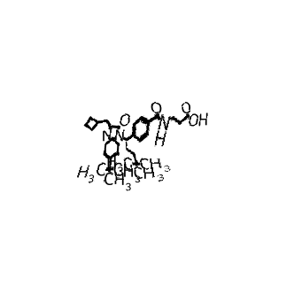 CC(C)(C)CC[C@H](c1ccc(C(=O)NCCC(=O)O)cc1)N1C(=O)C(CC2CCC2)=NC12CCC(C(C)(C)C)CC2